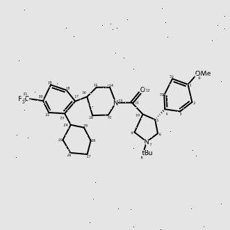 COc1ccc([C@@H]2CN(C(C)(C)C)CC2C(=O)N2CCC(c3ccc(C(F)(F)F)cc3C3CCCCC3)CC2)cc1